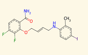 Cc1cc(I)ccc1NCC=CCOc1c(C(N)=O)ccc(F)c1F